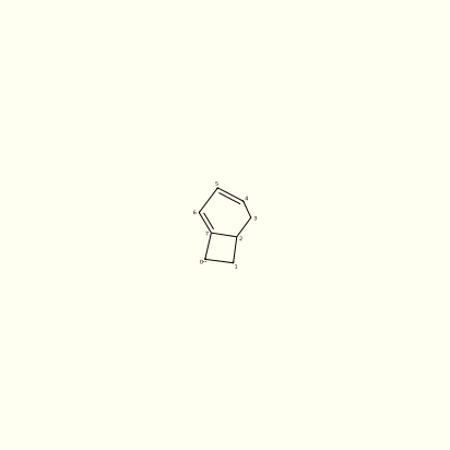 [C]1CC2CC=CC=C12